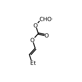 CC/C=C/OC(=O)O[C]=O